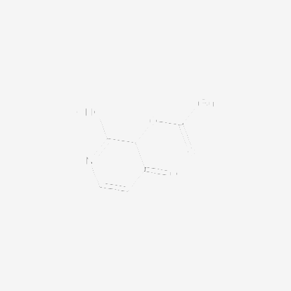 CC(C)(C)C(=O)OC1C(=O)C=CN=C1C=O